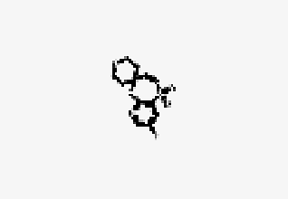 O=S1(=O)N=CC2(CCOCC2)Oc2ncc(F)cc21